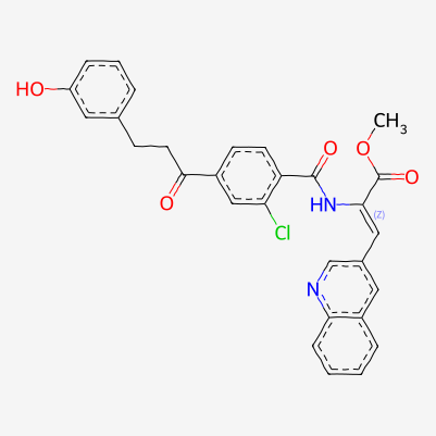 COC(=O)/C(=C/c1cnc2ccccc2c1)NC(=O)c1ccc(C(=O)CCc2cccc(O)c2)cc1Cl